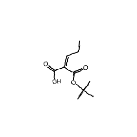 CCC=C(C(=O)O)C(=O)OC(C)(C)C